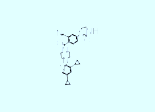 N#Cc1cc(N2CCNC2=O)ccc1C(=O)N1CCN(c2ncc(C3CC3)cc2C2CC2)CC1